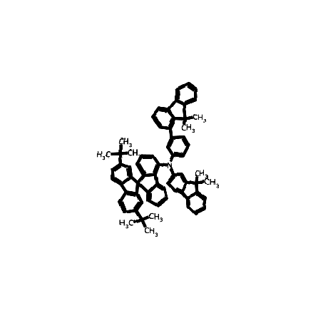 CC(C)(C)c1ccc2c(c1)C1(c3cc(C(C)(C)C)ccc3-2)c2ccccc2-c2c(N(c3cccc(-c4cccc5c4C(C)(C)c4ccccc4-5)c3)c3ccc4c(c3)C(C)(C)c3ccccc3-4)cccc21